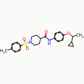 Cc1ccc(S(=O)(=O)N2CCC(C(=O)Nc3ccc(OC(C)C4CC4)cc3)CC2)cc1